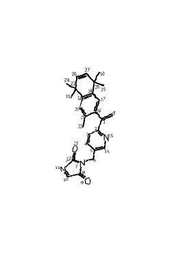 C=C(c1ccc(CN2C(=O)C=NC2=O)cn1)c1cc2c(cc1C)C(C)(C)C=CC2(C)C